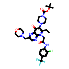 CCc1c(N2CCN(C(=O)OC(C)(C)C)CC2)c(=O)c2nc(CN3CCOCC3)cnc2n1CC(=O)Nc1ccc(C(F)(F)F)cc1Cl